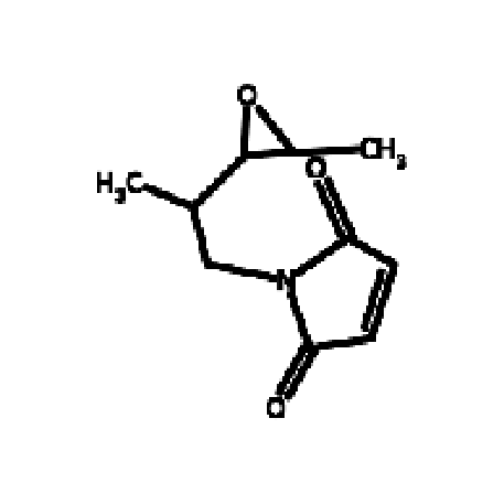 CC(CN1C(=O)C=CC1=O)C1OC1C